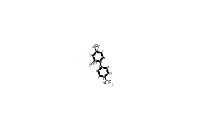 CC(C)c1ccc(-c2ccc(C(F)(F)F)cc2)c(F)c1